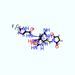 N=C1N[C@H]2[C@H](CN3C(=O)CCC3=O)NC(=N)N3C[C@H](NC(=O)c4cnc(C(F)(F)F)[nH]4)C(O)(O)C23N1